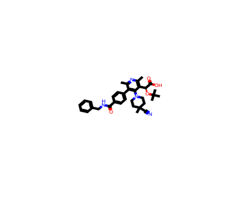 Cc1nc(C)c([C@H](OC(C)(C)C)C(=O)O)c(N2CCC(C)(C#N)CC2)c1-c1ccc(C(=O)NCc2ccccc2)cc1